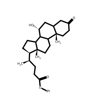 CC(C)OC(=O)CC[C@@H](C)[C@H]1CCC2C3C(CC[C@@]21C)[C@@]1(C)CCC(=O)CC1C[C@H]3O